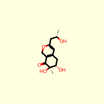 C[C@H](O)CC1=CC2=C(CO1)C(=O)[C@](C)(O)[C@@H](O)C2